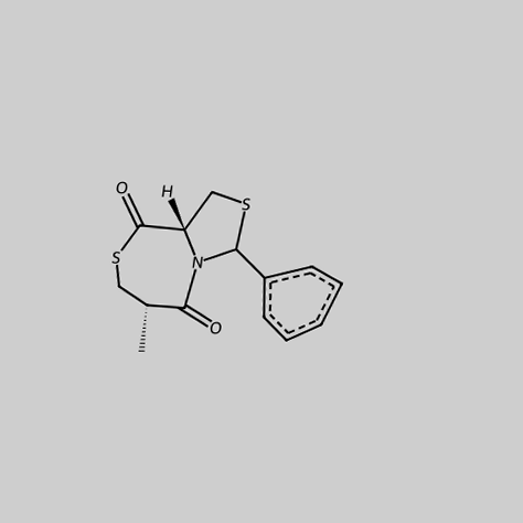 C[C@@H]1CSC(=O)[C@@H]2CSC(c3ccccc3)N2C1=O